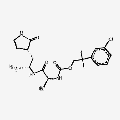 CC(C)(COC(=O)N[C@H](C(=O)N[C@@H](C[C@@H]1CCNC1=O)C(=O)O)C(C)(C)C)c1cccc(Cl)c1